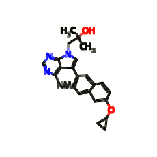 CNc1ncnc2c1c(-c1ccc3cc(OC4CC4)ccc3c1)cn2CC(C)(C)O